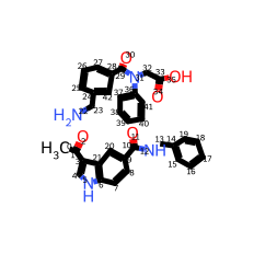 CC(=O)c1c[nH]c2ccc(C(=O)NCc3ccccc3)cc12.NCc1cccc(C(=O)N(CC(=O)O)c2ccccc2)c1